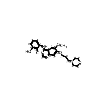 COc1cc2c(Nc3cccc(O)c3Cl)ncnc2cc1OCCCN1CCOCC1